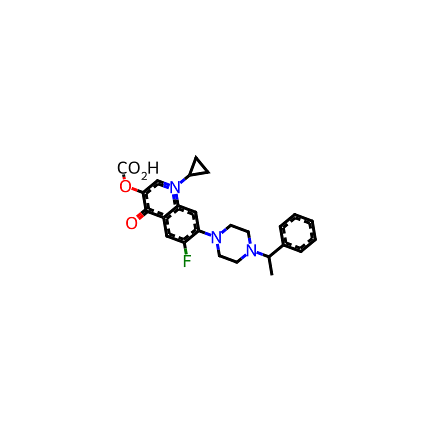 CC(c1ccccc1)N1CCN(c2cc3c(cc2F)c(=O)c(OC(=O)O)cn3C2CC2)CC1